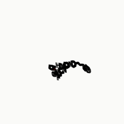 O=c1c(F)cc2cnc(Nc3ccc(N4CCC(CCCN5CCOCC5)CC4)cc3)cc2n1C1CC2CCC1C2